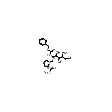 COC(=O)[C@@H]1CCCN1C[C@H](NC(=O)OCc1ccccc1)C(O)C(O)C(O)CO